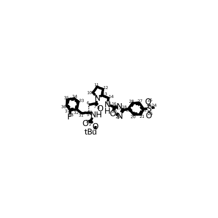 CC(C)(C)OC(=O)N[C@@H](CC(=O)N1CCCC1CNc1nc(-c2ccc(S(C)(=O)=O)cc2)no1)Cc1ccccc1F